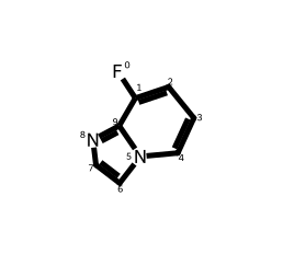 Fc1cccn2ccnc12